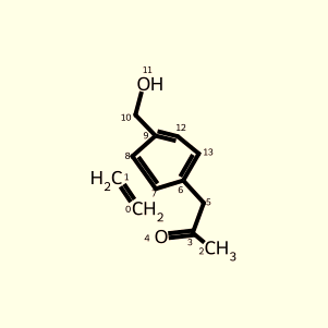 C=C.CC(=O)Cc1ccc(CO)cc1